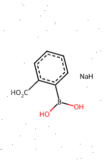 O=C(O)c1ccccc1B(O)O.[NaH]